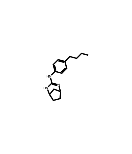 CCCCc1ccc(NC2=NC3CCC(C3)N2)cc1